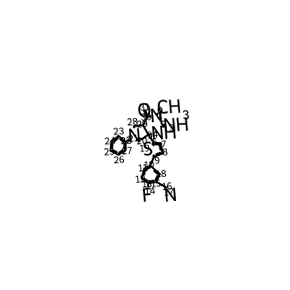 CN1C(=N)NC2(c3ccc(-c4ccc(F)c(C#N)c4)s3)CN(c3ccccc3)CC2C1=O